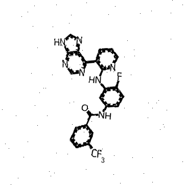 O=C(Nc1ccc(F)c(Nc2ncccc2-c2ncnc3[nH]cnc23)c1)c1cccc(C(F)(F)F)c1